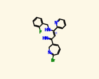 N=C(/C=C(\NCc1ccccc1F)c1ccccn1)C1=CC=CC(Br)=NC1